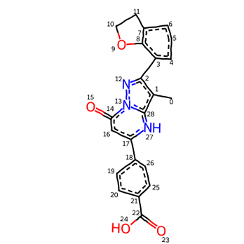 Cc1c(-c2cccc3c2OCC3)nn2c(=O)cc(-c3ccc(C(=O)O)cc3)[nH]c12